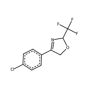 FC(F)(F)C1N=C(c2ccc(Cl)cc2)CO1